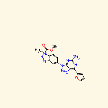 CC(C)(C)OC(=O)[N+]1(C)N=Nc2cc(-n3nnc4c(-c5ccco5)nc(N)nc43)ccc21